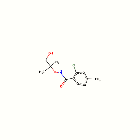 Cc1ccc(C(=O)NOC(C)(C)CO)c(Cl)c1